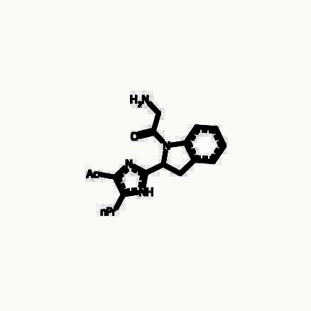 CCCc1[nH]c(C2Cc3ccccc3N2C(=O)CN)nc1C(C)=O